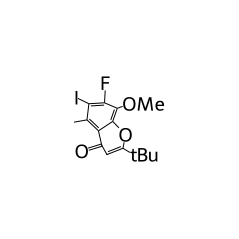 COc1c(F)c(I)c(C)c2c(=O)cc(C(C)(C)C)oc12